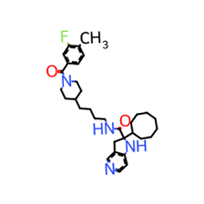 Cc1ccc(C(=O)N2CCC(CCCCNC(=O)C3(C4CCCCCCC4)Cc4cnccc4N3)CC2)cc1F